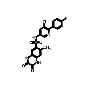 Cc1cc2[nH]c(=O)c(=O)[nH]c2cc1S(=O)(=O)Nc1cnc(-c2ccc(F)cc2)c(Cl)c1